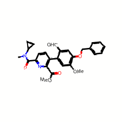 COC(=O)c1nc(C(=O)N(C)C2CC2)ccc1-c1cc(OC)c(OCc2ccccc2)cc1C=O